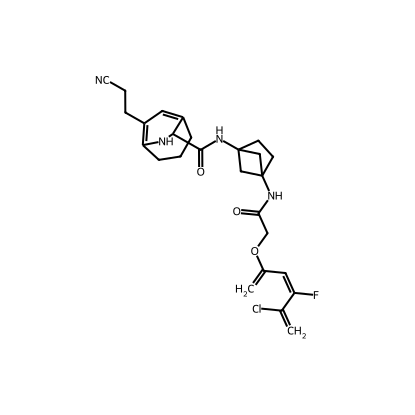 C=C(/C=C(/F)C(=C)Cl)OCC(=O)NC12CCC(NC(=O)C3NC4=C(CCC#N)C=C3CCC4)(C1)C2